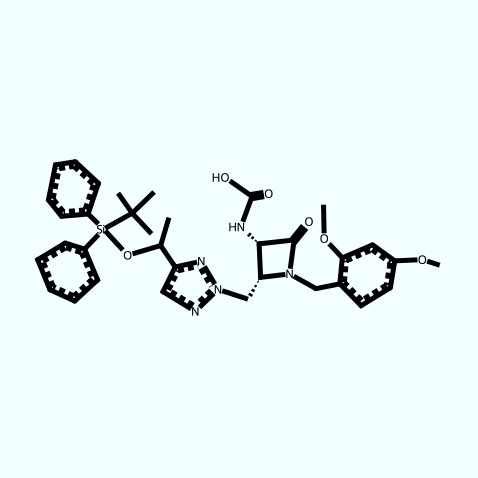 COc1ccc(CN2C(=O)[C@@H](NC(=O)O)[C@H]2Cn2ncc(C(C)O[Si](c3ccccc3)(c3ccccc3)C(C)(C)C)n2)c(OC)c1